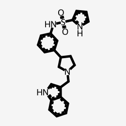 O=S(=O)(Nc1cccc(C2CCN(Cc3c[nH]c4ccccc34)C2)c1)c1ccc[nH]1